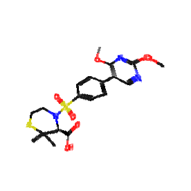 COc1ncc(-c2ccc(S(=O)(=O)N3CCSC(C)(C)[C@@H]3C(=O)O)cc2)c(OC)n1